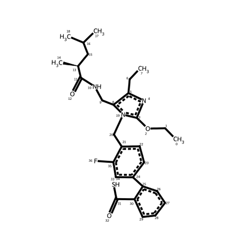 CCOc1nc(CC)c(CNC(=O)[C@@H](C)CC(C)C)n1Cc1ccc(-c2ccccc2C(=O)S)cc1F